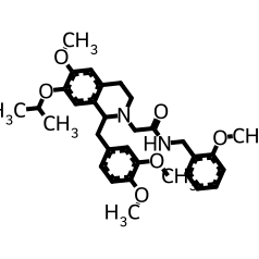 COc1ccccc1CNC(=O)CN1CCc2cc(OC)c(OC(C)C)cc2C1Cc1ccc(OC)c(OC)c1